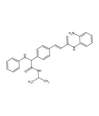 CC(C)NC(=O)C(Nc1ccccc1)c1ccc(/C=C/C(=O)Nc2ccccc2N)cc1